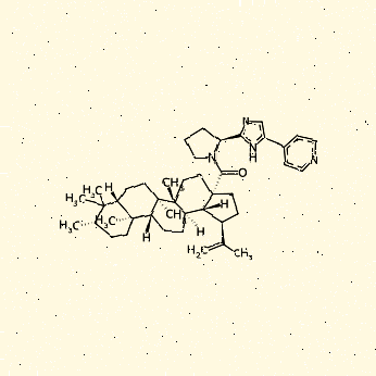 C=C(C)[C@@H]1CC[C@]2(C(=O)N3CCC[C@H]3c3ncc(-c4ccncc4)[nH]3)CC[C@]3(C)[C@H](CC[C@@H]4[C@@]5(C)CC[C@H](C)C(C)(C)[C@@H]5CC[C@]43C)[C@@H]12